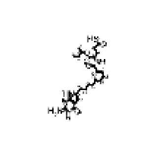 CCC(C)OC(=O)C(CCC(=O)O)NC(=O)c1cccc(CCCCc2cc3c(=O)[nH]c(N)nc3[nH]2)n1